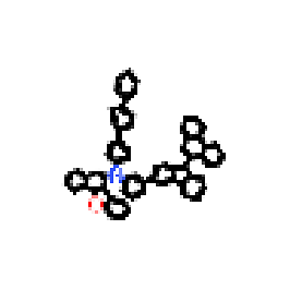 c1ccc(-c2ccc(-c3ccc(N(c4cccc(-c5ccc6c(c5)-c5ccccc5C6c5cc6ccccc6c6ccccc56)c4)c4cc5ccccc5c5oc6ccccc6c45)cc3)cc2)cc1